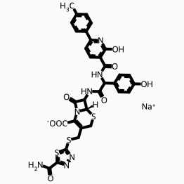 Cc1ccc(-c2ccc(C(=O)NC(C(=O)NC3C(=O)N4C(C(=O)[O-])=C(CSc5nnc(C(N)=O)s5)CS[C@@H]34)c3ccc(O)cc3)c(O)n2)cc1.[Na+]